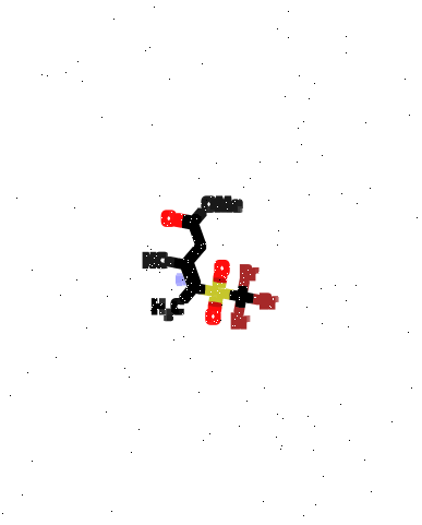 COC(=O)C/C(C#N)=C(/C)S(=O)(=O)C(Br)(Br)Br